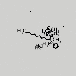 CCCCCCCCCCC(C(=O)[NH][Zr]([CH3])([CH3])([CH3])[CH3])[Si](C)(C)C1=CC=CC1.Cl.Cl